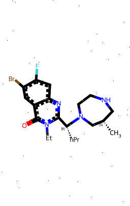 CCC[C@H](c1nc2cc(F)c(Br)cc2c(=O)n1CC)N1CCNC[C@H](C)C1